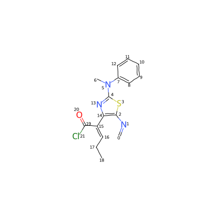 C=Nc1sc(N(C)c2ccccc2)nc1C(=CCC)C(=O)Cl